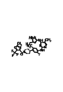 Cc1cc(Nc2nc(Nc3cc(C)c(C4CCN(C(=O)c5nc(C)oc5C(F)(F)F)CC4)cc3F)ncc2C)n[nH]1